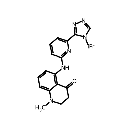 CC(C)n1cnnc1-c1cccc(Nc2cccc3c2C(=O)CCN3C)n1